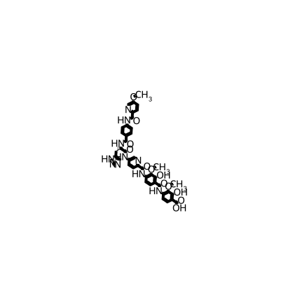 COc1ccc(C(=O)Nc2ccc(C(=O)N[C@@H](Cc3cnn[nH]3)C(=O)Nc3ccc(C(=O)Nc4ccc(C(=O)Nc5ccc(C(=O)O)c(O)c5OC)c(O)c4OC)nc3)cc2)nc1